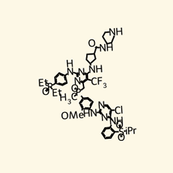 CCP(=O)(CC)c1ccc(Nc2nc(CP(C)(=O)c3ccc(Nc4ncc(Cl)c(Nc5ccccc5S(=O)(=O)C(C)C)n4)c(OC)c3)c(C(F)(F)F)c(NC3CCC(C(=O)NC4CCNCC4)C3)n2)cc1